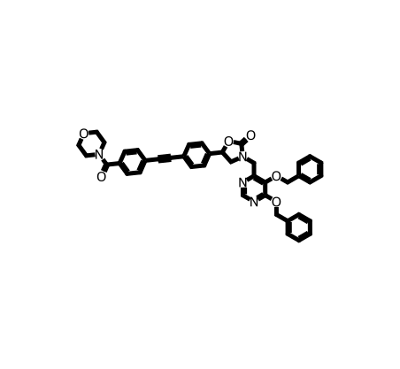 O=C1OC(c2ccc(C#Cc3ccc(C(=O)N4CCOCC4)cc3)cc2)CN1Cc1ncnc(OCc2ccccc2)c1OCc1ccccc1